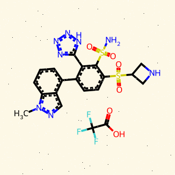 Cn1ncc2c(-c3ccc(S(=O)(=O)C4CNC4)c(S(N)(=O)=O)c3-c3nnn[nH]3)cccc21.O=C(O)C(F)(F)F